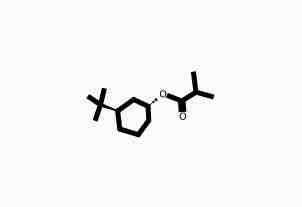 CC(C)C(=O)O[C@@H]1CCC[C@@H](C(C)(C)C)C1